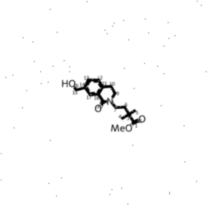 COC(=O)C(C)(C)CCN1CCc2ccc(CO)cc2C1=O